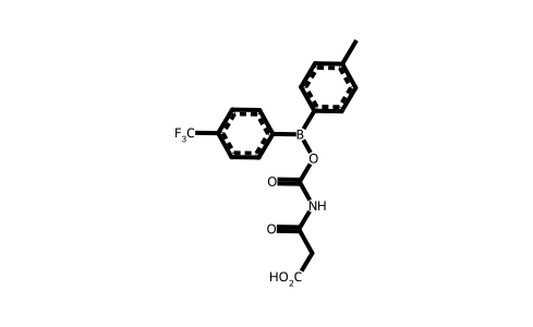 Cc1ccc(B(OC(=O)NC(=O)CC(=O)O)c2ccc(C(F)(F)F)cc2)cc1